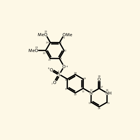 COc1cc(OS(=O)(=O)c2ccc(N3C=CCNC3=O)cc2)cc(OC)c1OC